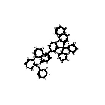 c1ccc(N(c2ccccc2)c2ccc(-c3ccc4c(c3)C(c3ccccc3)(c3ccccc3)c3ccc5ccccc5c3-4)c3ccccc23)cc1